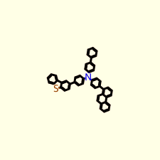 c1ccc(-c2ccc(N(c3ccc(-c4ccc5sc6ccccc6c5c4)cc3)c3ccc(-c4cccc5c4ccc4ccccc45)cc3)cc2)cc1